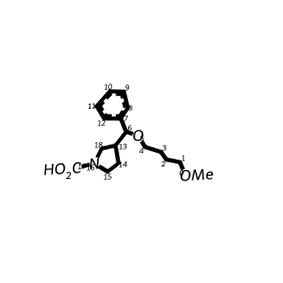 COCCCCOC(c1ccccc1)C1CCN(C(=O)O)C1